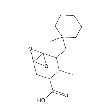 CC1C(C(=O)O)CC23OC2(O3)C1CC1(C)CCCCC1